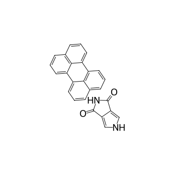 O=C1NC(=O)c2c[nH]cc21.c1cc2cccc3c4cccc5cccc(c(c1)c23)c54